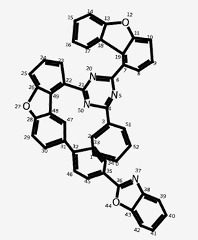 c1ccc(-c2nc(-c3cccc4oc5ccccc5c34)nc(-c3cccc4oc5ccc(-c6ccc(-c7nc8ccccc8o7)cc6)cc5c34)n2)cc1